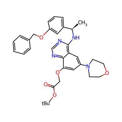 C[C@@H](Nc1ncnc2c(OCC(=O)OC(C)(C)C)cc(N3CCOCC3)cc12)c1cccc(OCc2ccccc2)c1